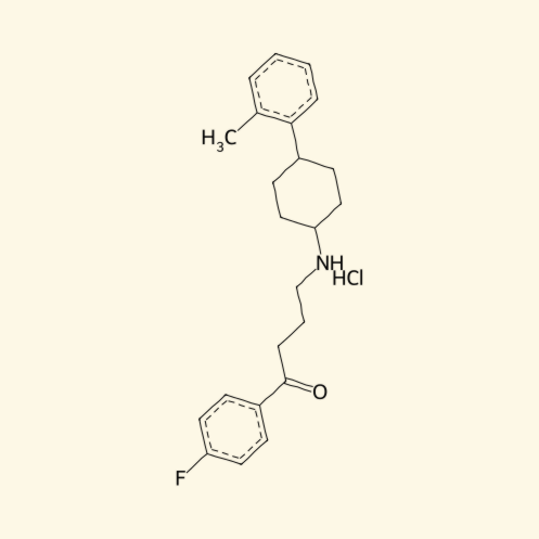 Cc1ccccc1C1CCC(NCCCC(=O)c2ccc(F)cc2)CC1.Cl